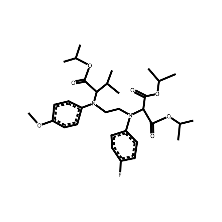 COc1ccc(N(CCN(c2ccc(F)cc2)C(C(=O)OC(C)C)C(=O)OC(C)C)C(C(=O)OC(C)C)C(C)C)cc1